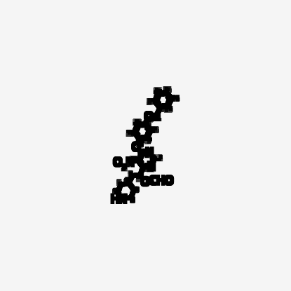 O=COC(CC1CCNCC1)c1ncnc(Oc2ccc(OCc3ccccc3)cc2)c1[N+](=O)[O-]